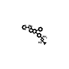 N[C@]1(c2ccc(-c3nc4ccn5c(-c6ncccn6)nnc5c4cc3-c3ccccc3)cc2)C[C@](O)(C2CC2)C1